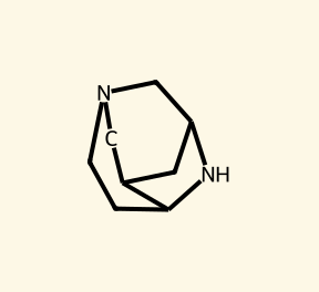 C1C2CN3CCC(N2)C1C3